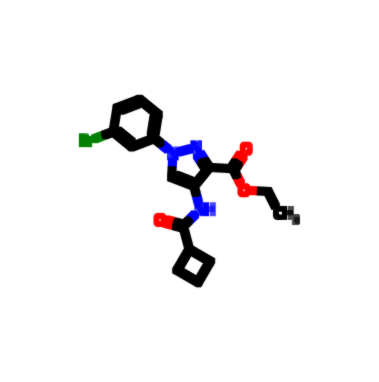 CCOC(=O)c1nn(-c2cccc(Br)c2)cc1NC(=O)C1CCC1